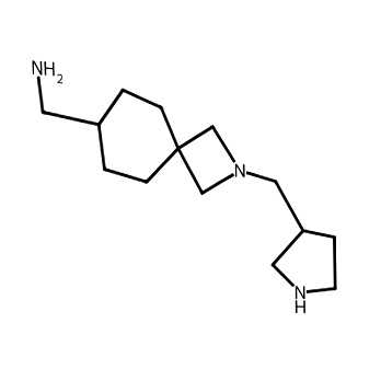 NCC1CCC2(CC1)CN(CC1CCNC1)C2